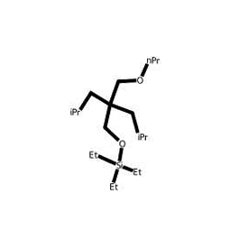 CCCOCC(CO[Si](CC)(CC)CC)(CC(C)C)CC(C)C